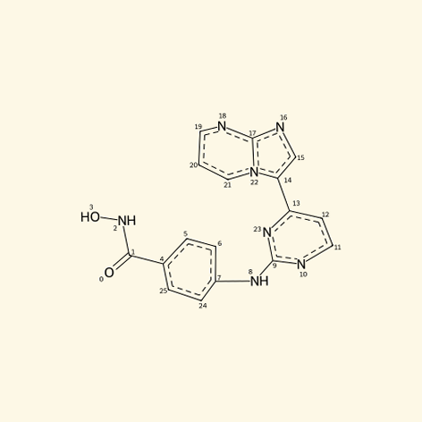 O=C(NO)c1ccc(Nc2nccc(-c3cnc4ncccn34)n2)cc1